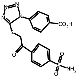 NS(=O)(=O)c1ccc(C(=O)CSc2nnnn2-c2ccc(C(=O)O)cc2)cc1